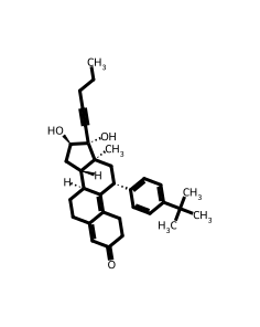 CCCC#C[C@]1(O)[C@H](O)C[C@H]2[C@@H]3CCC4=CC(=O)CCC4=C3[C@@H](c3ccc(C(C)(C)C)cc3)C[C@@]21C